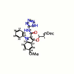 CCCCCCCCCCCCOc1c(C(=O)Nc2nnn[nH]2)n(-c2ccccc2)c2ccc(OC)cc12